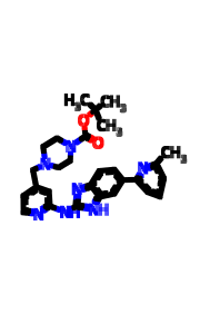 Cc1cccc(-c2ccc3nc(Nc4cc(CN5CCN(C(=O)OC(C)(C)C)CC5)ccn4)[nH]c3c2)n1